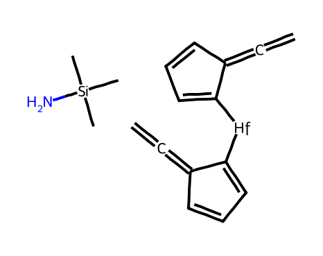 C=C=C1C=CC=[C]1[Hf][C]1=CC=CC1=C=C.C[Si](C)(C)N